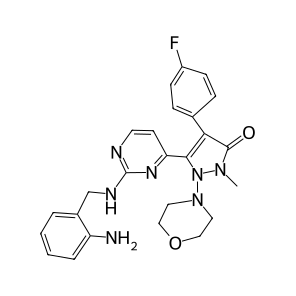 Cn1c(=O)c(-c2ccc(F)cc2)c(-c2ccnc(NCc3ccccc3N)n2)n1N1CCOCC1